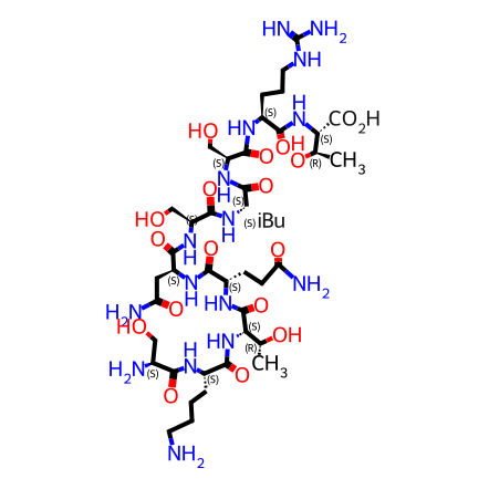 CC[C@H](C)[C@H](NC(=O)[C@H](CO)NC(=O)[C@H](CC(N)=O)NC(=O)[C@H](CCC(N)=O)NC(=O)[C@@H](NC(=O)[C@H](CCCCN)NC(=O)[C@@H](N)CO)[C@@H](C)O)C(=O)N[C@@H](CO)C(=O)N[C@@H](CCCNC(=N)N)C(=O)N[C@H](C(=O)O)[C@@H](C)O